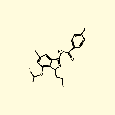 CCCn1nc(NC(=O)c2ccc(F)cc2)c2cc(C)cc(OC(F)F)c21